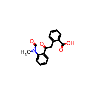 CN(C=O)c1ccccc1C(=O)Cc1ccccc1C(=O)O